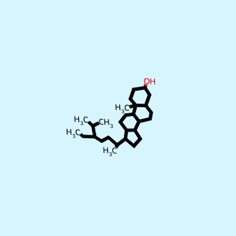 CCC(CCC(C)C1CCC2C1CCC1C2CCC2CC(O)CCC21C)C(C)C